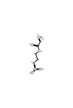 C=CC(=O)OCCN=S(=O)=O